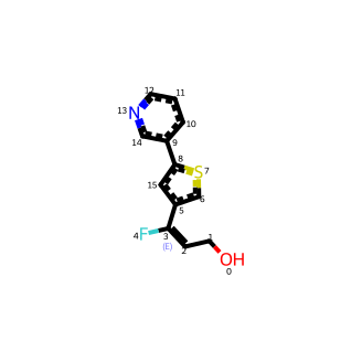 OC/C=C(/F)c1csc(-c2cccnc2)c1